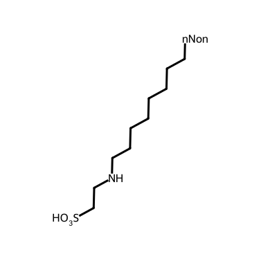 CCCCCCCCCCCCCCCCCNCCS(=O)(=O)O